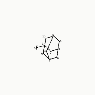 FC12CC3CC(CC(C3)C1)C2